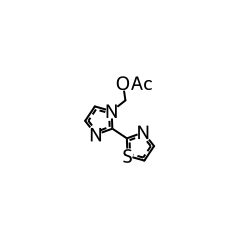 CC(=O)OCn1ccnc1-c1nccs1